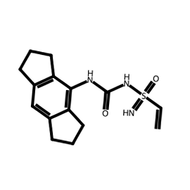 C=CS(=N)(=O)NC(=O)Nc1c2c(cc3c1CCC3)CCC2